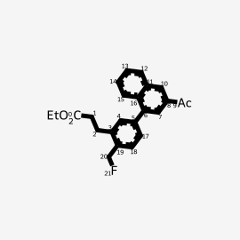 CCOC(=O)CCc1cc(-c2cc(C(C)=O)cc3ccccc23)ccc1CF